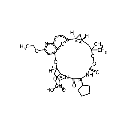 CCOc1cc2c3cc(ccc3n1)[C@H]1C[C@@H]1CC(C)(C)COC(=O)N[C@@H](C1CCCC1)C(=O)N1C(OC)[C@@H](C[C@H]1C(=O)O)O2